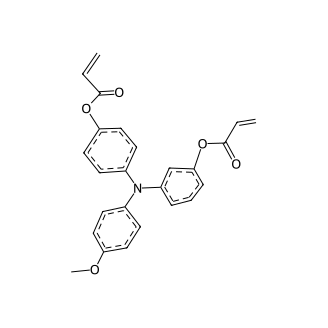 C=CC(=O)Oc1ccc(N(c2ccc(OC)cc2)c2cccc(OC(=O)C=C)c2)cc1